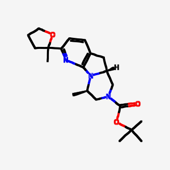 C[C@@H]1CN(C(=O)OC(C)(C)C)C[C@H]2Cc3ccc(C4(C)CCCO4)nc3N21